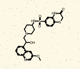 COc1cnc2cccc(C(O)CN3CCC(NS(=O)(=O)c4ccc5c(c4)NC(=O)CS5)CC3)c2c1